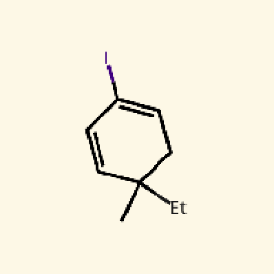 CCC1(C)C=CC(I)=CC1